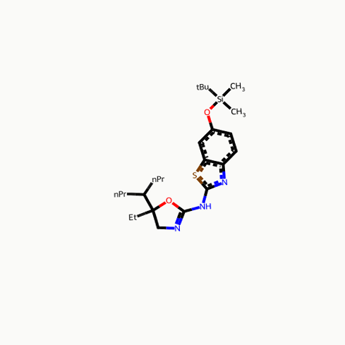 CCCC(CCC)C1(CC)CN=C(Nc2nc3ccc(O[Si](C)(C)C(C)(C)C)cc3s2)O1